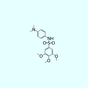 COc1cc(S(=O)(=O)Nc2ccc(N(C)C)cc2)cc(OC)c1OC